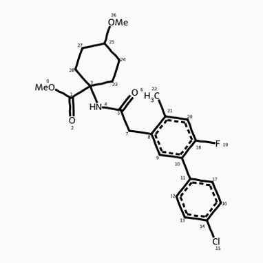 COC(=O)C1(NC(=O)Cc2cc(-c3ccc(Cl)cc3)c(F)cc2C)CCC(OC)CC1